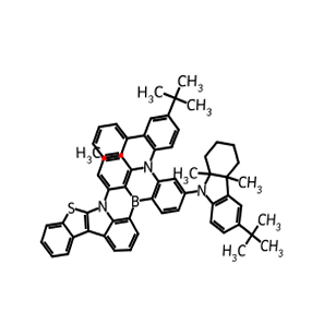 Cc1cc2c3c(c1)-n1c4sc5ccccc5c4c4cccc(c41)B3c1ccc(N3c4ccc(C(C)(C)C)cc4C4(C)CCCCC34C)cc1N2c1ccc(C(C)(C)C)cc1-c1ccccc1